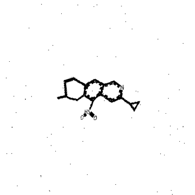 CC1CCc2cc3cnc(C4CC4)cc3c([SH](=O)=O)c2C1